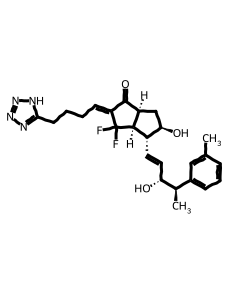 Cc1cccc([C@@H](C)[C@H](O)/C=C/[C@@H]2[C@@H]3[C@H](C[C@H]2O)C(=O)/C(=C/CCCc2nnn[nH]2)C3(F)F)c1